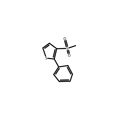 CS(=O)(=O)c1ccsc1-c1ccccc1